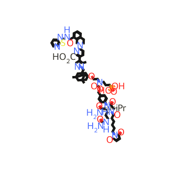 Cc1c(-c2ccc(N3CCc4cccc(C(=O)Nc5nc6cccnc6s5)c4C3)nc2C(=O)O)cnn1CC12CC3(C)CC(C)(C1)CC(OCCN(CCCP(=O)(O)O)C(=O)OCc1ccc(N(C(=O)[C@@H](NC(=O)CCCCCN4C(=O)C=CC4=O)C(C)C)[C@@H](CCCNC(N)=O)C(N)=O)cc1)(C3)C2